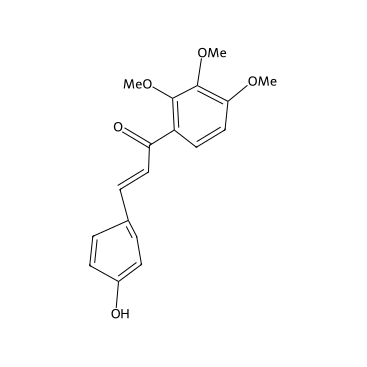 COc1ccc(C(=O)/C=C/c2ccc(O)cc2)c(OC)c1OC